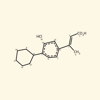 CC(=CC(=O)O)c1ccc(C2CCCCC2)cc1.Cl